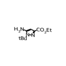 CCOC(=O)c1cc(N)n(C(C)(C)C)n1